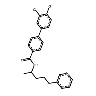 CC(CCCc1cccnc1)NC(=O)c1ccc(-c2ccc(Cl)c(Cl)c2)cc1